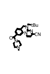 CN1CCN(C(=O)c2ccc(CN(CC(C)(C)C)c3nccc(C#N)n3)cc2)CC1